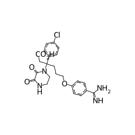 N=C(N)c1ccc(OCCCC(CC(=O)O)(c2ccc(Cl)cc2)N2CCNC(=O)C2=O)cc1